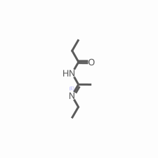 CC/N=C(\C)NC(=O)CC